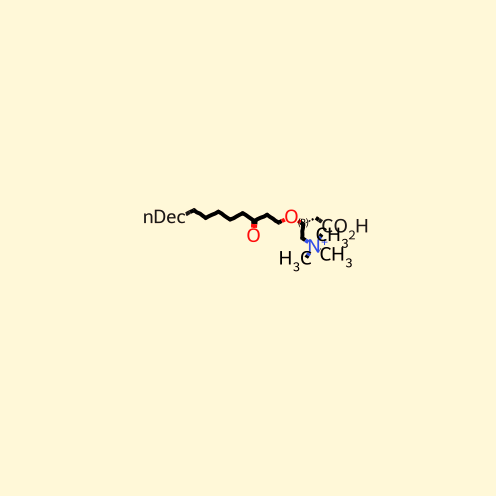 CCCCCCCCCCCCCCCC(=O)CCO[C@H](CC(=O)O)C[N+](C)(C)C